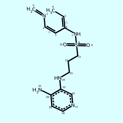 C=N/C=C\C(=C/C)NS(=O)(=O)CCCNc1cnccc1N